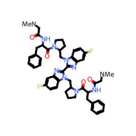 CNCC(=O)NC(Cc1ccccc1)C(=O)N1CCCC1Cn1c(-c2nc3cc(F)ccc3n2CC2CCCN2C(=O)C(Cc2ccccc2)NC(=O)CNC)nc2cc(F)ccc21